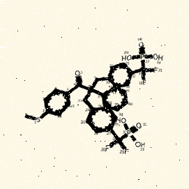 CSc1ccc(C(=O)C(Cc2ccc(C(F)(F)P(=O)(O)O)cc2)(Cc2ccc(C(F)(F)P(=O)(O)O)cc2)c2ccccc2)cc1